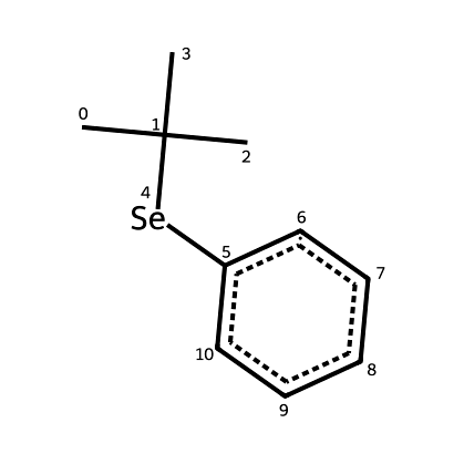 CC(C)(C)[Se]c1[c]cccc1